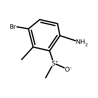 Cc1c(Br)ccc(N)c1[S+](C)[O-]